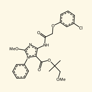 COCC(C)(C)OC(=O)c1c(NC(=O)COc2cccc(Cl)c2)nc(OC)n1-c1ccccc1